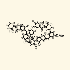 COc1ccc(Cc2cc3c(cc2C)CN([C@H]2CC(c4cc(Cc5cc6c(nc5C)CN([C@H]5CC(c7cc(Cc8cc9c(nc8C)CN([C@H]8CCCC[C@@H]8O)C9=O)ccc7OC)CC[C@@H]5O)C6=O)cc(OC)c4)CC[C@@H]2O)C3=O)cc1